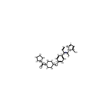 C=C/C(=C(/C)n1nccc1C)c1ccc(OC2CCN(C(=O)N3CCCC3)CC2)cc1